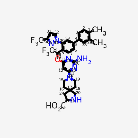 Cc1ccc(-c2ccc([C@@H](Oc3cc(N4CCC5(CC4)CNC(C(=O)O)C5)nc(N)n3)C(F)(F)F)c(-n3ccc(C(F)(F)F)n3)c2)cc1C